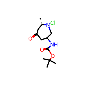 C[C@H]1CC(=O)C[C@H](NC(=O)OC(C)(C)C)CN1Cl